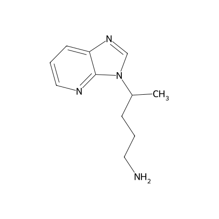 CC(CCCN)n1cnc2cccnc21